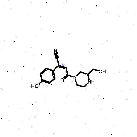 N#C/C(=C/C(=O)N1CCNC(CO)C1)c1ccc(O)cc1